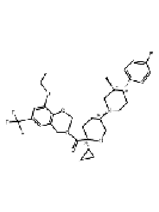 CCOc1cc(C(F)(F)F)cc2c1OCN(C(=O)[C@@]1(C3CC3)CC[C@@H](N3CC[C@@H](c4ccc(F)cc4)[C@H](C)C3)CO1)C2